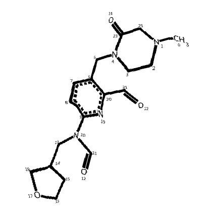 CN1CCN(Cc2ccc(N(C=O)CC3CCOC3)nc2C=O)C(=O)C1